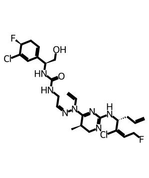 C=CC[C@@H](NC1=NC[C@@H](C)C(N(C=C)/N=C\CNC(=O)N[C@H](CO)C2=CC[C@H](F)C(Cl)=C2)=N1)/C(Cl)=C\CF